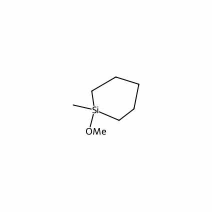 CO[Si]1(C)CCCCC1